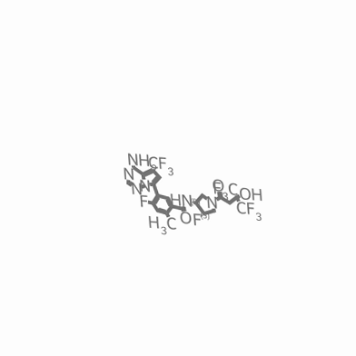 Cc1cc(F)c(-c2cc(C(F)(F)F)c3c(N)ncnn23)cc1C(=O)N[C@@H]1CN(C(=O)CC(O)(C(F)(F)F)C(F)(F)F)C[C@@H]1F